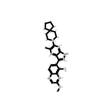 COc1cnc2ccc(-c3n[nH]c4nc(N5CCC6(CCCC6)CC5)c(C)nc34)c(Cl)c2n1